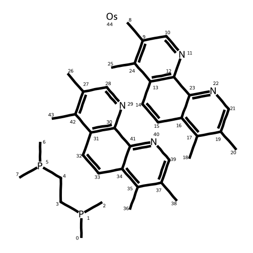 CP(C)CCP(C)C.Cc1cnc2c(ccc3c(C)c(C)cnc32)c1C.Cc1cnc2c(ccc3c(C)c(C)cnc32)c1C.[Os]